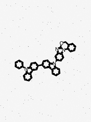 c1ccc(-n2c3ccccc3c3cc(-c4ccc5c(c4)c4ccccc4n5-c4ccc5c(c4)nc4n5-c5ccccc5CO4)ccc32)cc1